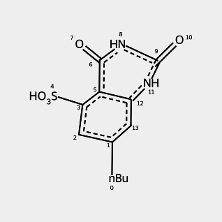 CCCCc1cc(S(=O)(=O)O)c2c(=O)[nH]c(=O)[nH]c2c1